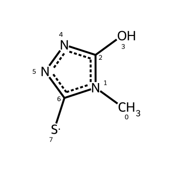 Cn1c(O)nnc1[S]